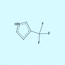 FC(F)(F)c1[c][nH]cc1